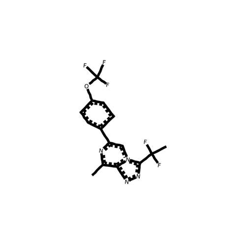 Cc1nc(-c2ccc(OC(F)(F)F)cc2)cn2c(C(C)(F)F)nnc12